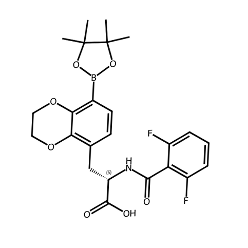 CC1(C)OB(c2ccc(C[C@H](NC(=O)c3c(F)cccc3F)C(=O)O)c3c2OCCO3)OC1(C)C